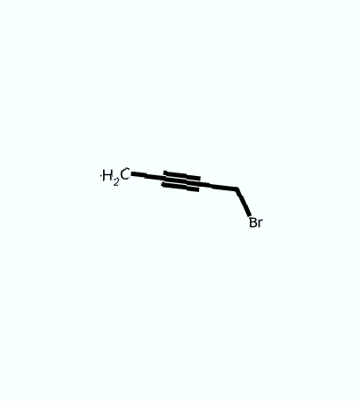 [CH2]C#CCBr